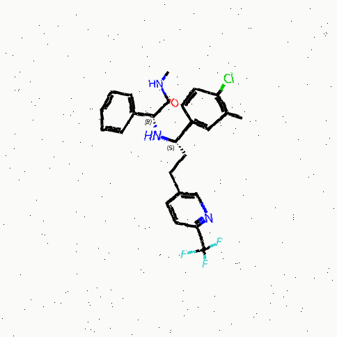 CNC(=O)[C@H](N[C@@H](CCc1ccc(C(F)(F)F)nc1)c1ccc(Cl)c(C)c1)c1ccccc1